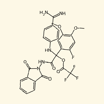 COc1cc(F)c(C(Nc2ccc(C(=N)N)cc2)(OC(=O)C(F)(F)F)C(=O)NN2C(=O)c3ccccc3C2=O)cc1OC